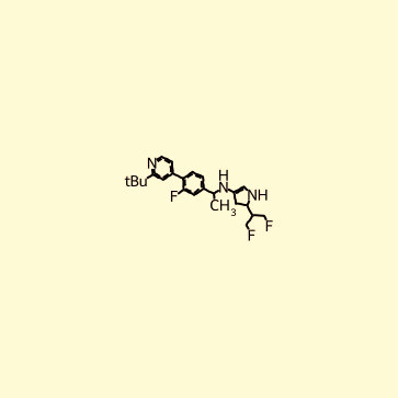 CC(NC1=CNC(C(CF)CF)C1)c1ccc(-c2ccnc(C(C)(C)C)c2)c(F)c1